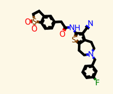 N#Cc1c(NC(=O)Cc2ccc3c(c2)CCS3(=O)=O)sc2c1CCN(Cc1cccc(F)c1)CC2